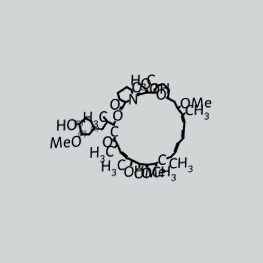 COC1CC2CCC(C)C(O)(O2)C(=O)C(=O)N2CCCCC2C(=O)OC(C(C)C[C@@H]2CC[C@@H](O)[C@H](OC)C2)CC(=O)C(C)C=C(C)C(O)C(OC)C(=O)C(C)CC(C)C=CC=CC=C1C